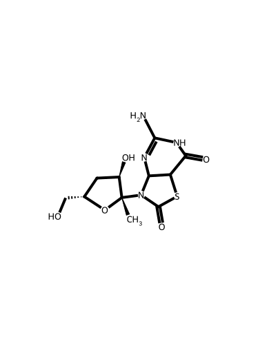 C[C@@]1(N2C(=O)SC3C(=O)NC(N)=NC32)O[C@H](CO)C[C@H]1O